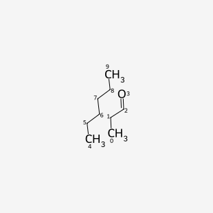 CCC=O.CCCCCC